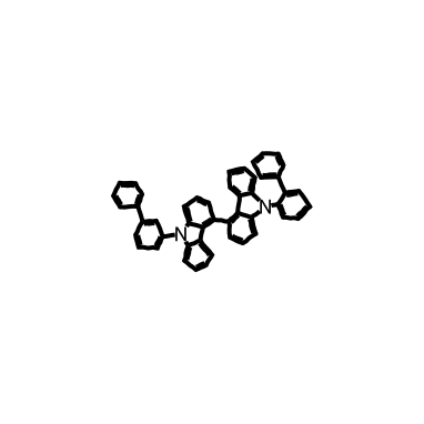 c1ccc(-c2cccc(-n3c4ccccc4c4c(-c5cccc6c5c5ccccc5n6-c5ccccc5-c5ccccc5)cccc43)c2)cc1